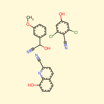 COc1cccc(C(O)C#N)c1.N#Cc1c(Cl)cc(O)cc1Cl.N#Cc1ccc2cccc(O)c2n1